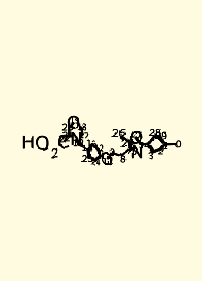 Cc1ccc(-c2nc(CCOc3ccc(CN4CCOCC4C(=O)O)cc3)c(C)o2)cc1